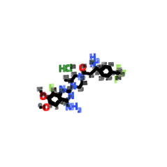 COc1cc2c(N)nc(N3CCN(C(=O)C[C@@H](N)c4ccc(C(F)(F)F)cc4)C[C@@H]3C)nc2c(F)c1OC.Cl